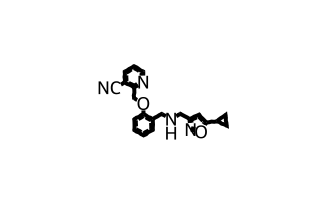 N#Cc1cccnc1COc1ccccc1CNCc1cc(C2CC2)on1